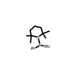 CC(C)N(N1C(C)(C)CCCC1(C)C)C(C)(C)C